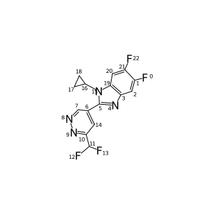 Fc1cc2nc(-c3cnnc(C(F)F)c3)n(C3CC3)c2cc1F